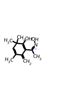 C=C1C(C)=CC(C)(C)C(O)=C1/C(C)=N\O